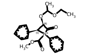 CCOC(C)O[C@H]1C(=O)[N+](C(=O)OC)(c2ccccc2)[C@H]1c1ccccc1